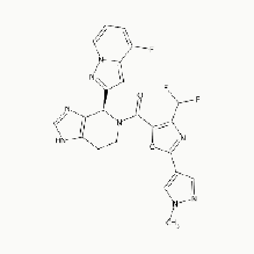 Cn1cc(-c2nc(C(F)F)c(C(=O)N3CCc4[nH]cnc4[C@H]3c3cc4c(F)cccn4n3)o2)cn1